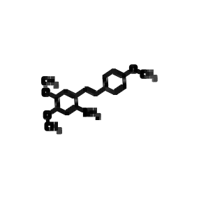 COc1ccc(C=Cc2cc(OC)c(OC)cc2N)cc1